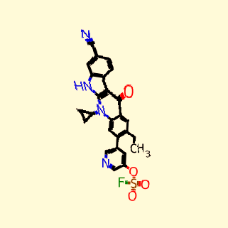 CCc1cc2c(=O)c3c4ccc(C#N)cc4[nH]c3n(C3CC3)c2cc1-c1cncc(OS(=O)(=O)F)c1